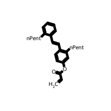 C=CC(=O)Oc1ccc(/C=C/c2ccccc2CCCCC)c(CCCCC)c1